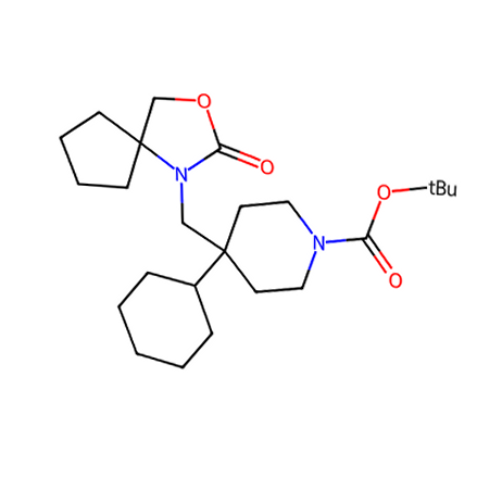 CC(C)(C)OC(=O)N1CCC(CN2C(=O)OCC23CCCC3)(C2CCCCC2)CC1